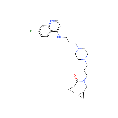 O=C(C1CC1)N(CCCN1CCN(CCCNc2ccnc3cc(Cl)ccc23)CC1)CC1CC1